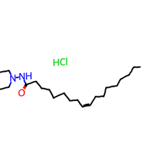 CCCCCCCC/C=C\CCCCCCCC(=O)NN(CC)CC.Cl